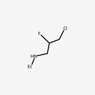 CCNCC(F)CCl